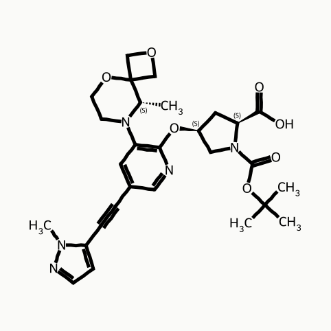 C[C@@H]1N(c2cc(C#Cc3ccnn3C)cnc2O[C@H]2C[C@@H](C(=O)O)N(C(=O)OC(C)(C)C)C2)CCOC12COC2